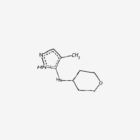 Cc1cn[nH]c1NC1CCOCC1